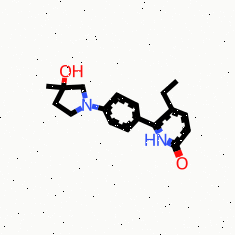 CCc1ccc(=O)[nH]c1-c1ccc(N2CCC(C)(O)C2)cc1